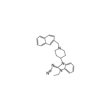 CCn1/c(=N\C#N)n(C2CCN(Cc3ccc4ccccc4c3)CC2)c2ccccc21